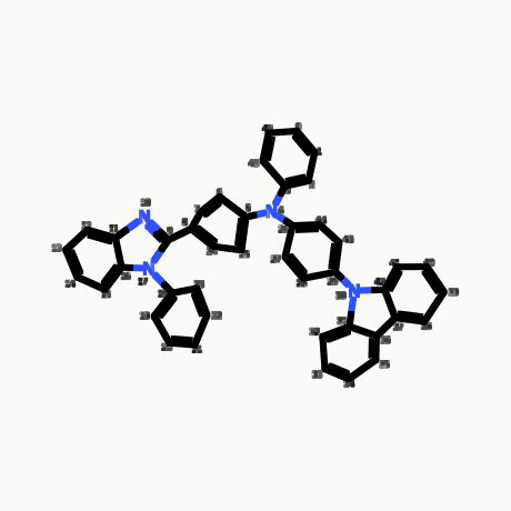 c1ccc(N(c2ccc(-c3nc4ccccc4n3-c3ccccc3)cc2)c2ccc(-n3c4ccccc4c4ccccc43)cc2)cc1